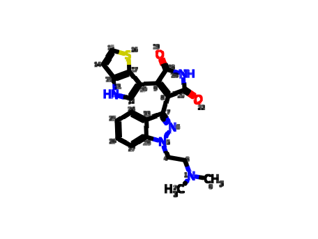 CN(C)CCn1nc(C2=C(c3c[nH]c4ccsc34)C(=O)NC2=O)c2ccccc21